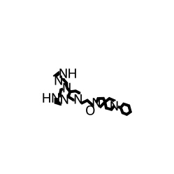 O=C(CCN1CCC(N(Cc2ncc[nH]2)Cc2ncc[nH]2)CC1)N1CCC2(CCN(C3CCCCC3)CC2)C1